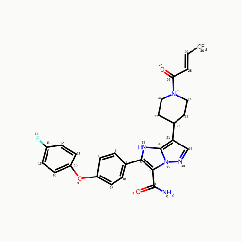 NC(=O)c1c(-c2ccc(Oc3ccc(F)cc3)cc2)[nH]c2c(C3CCN(C(=O)/C=C/C(F)(F)F)CC3)cnn12